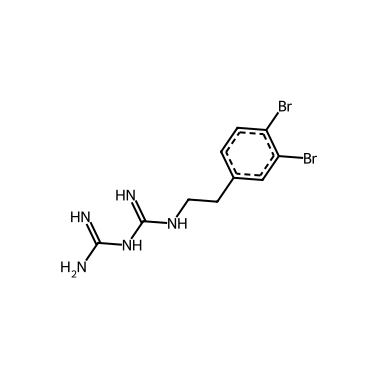 N=C(N)NC(=N)NCCc1ccc(Br)c(Br)c1